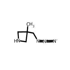 CC1(CN=[N+]=[N-])CNC1